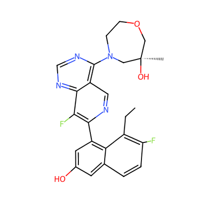 CCc1c(F)ccc2cc(O)cc(-c3ncc4c(N5CCOC[C@@](C)(O)C5)ncnc4c3F)c12